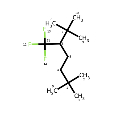 CC(C)(C)CCC(C(C)(C)C)C(F)(F)F